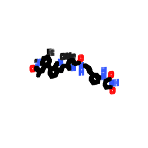 CCc1cc(-c2cccc3cc(-c4cnc(C(=O)NCC#Cc5cccc(NC6CCC(=O)NC6=O)c5)c(OC)c4)ncc23)c2cc(C)c(=O)n(C)c2c1